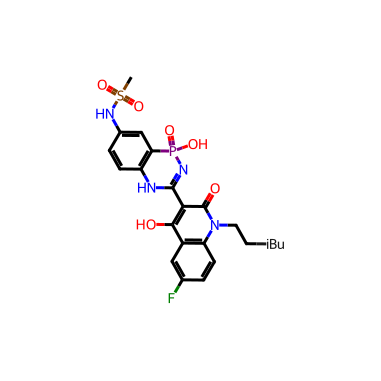 CCC(C)CCn1c(=O)c(C2=NP(=O)(O)c3cc(NS(C)(=O)=O)ccc3N2)c(O)c2cc(F)ccc21